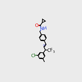 Cc1cc(Cl)cc(C(/C=C/c2ccc(CNC(=O)C3CC3)cc2)C(F)(F)F)c1